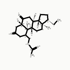 CC[C@H]1CC[C@H]2[C@@H]3CC(=O)[C@H]4CC(=O)CC(COC(C)=O)[C@]4(C)[C@H]3CC[C@]12C